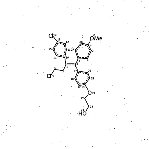 COc1ccc(C(=C(CCCl)c2ccc(Cl)cc2)c2ccc(OCCO)cc2)cc1